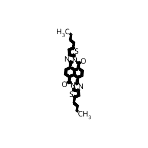 CC/C=C/c1cc2nc3c4ccc5c(=O)n6c(nc7cc(/C=C/CC)sc76)c6ccc(c(=O)n3c2s1)c4c56